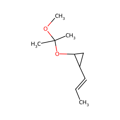 CC=CC1CC1OC(C)(C)OC